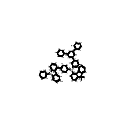 CC1(C)c2ccccc2-c2c(N(c3ccc(-c4cccc5c4c4ccccc4n5-c4ccccc4)cc3)c3cccc(-c4cc(-c5ccccc5)cc(-c5ccccc5)c4)c3)cccc21